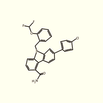 NC(=O)c1cccc2c1c1[c]cc(-c3ccc(Cl)cc3)cc1n2Cc1ccccc1OC(F)F